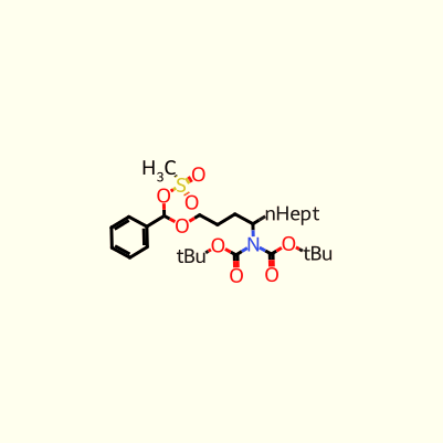 CCCCCCCC(CCCOC(OS(C)(=O)=O)c1ccccc1)N(C(=O)OC(C)(C)C)C(=O)OC(C)(C)C